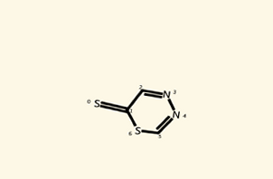 S=c1cnncs1